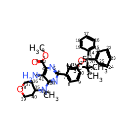 COC(=O)c1nc(-c2cccc(O[Si](c3ccccc3)(c3ccccc3)C(C)(C)C)c2)nc(N(C)C2CCOCC2)c1N